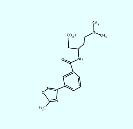 Cc1nc(-c2cccc(C(=O)NC(CCN(C)C)CC(=O)O)c2)no1